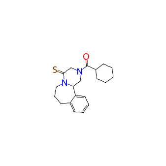 O=C(C1CCCCC1)N1CC(=S)N2CCCc3ccccc3C2C1